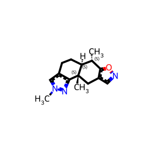 C[C@@H]1c2oncc2C[C@]2(C)c3nn(C)cc3CC[C@@H]12